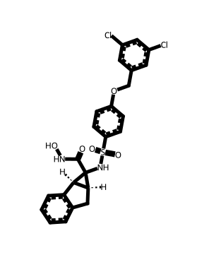 O=C(NO)C1(NS(=O)(=O)c2ccc(OCc3cc(Cl)cc(Cl)c3)cc2)[C@@H]2c3ccccc3C[C@@H]21